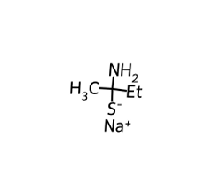 CCC(C)(N)[S-].[Na+]